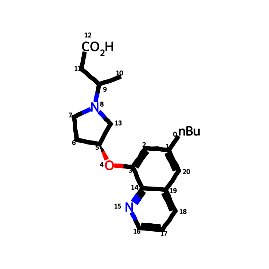 CCCCc1cc(O[C@H]2CCN(C(C)CC(=O)O)C2)c2ncccc2c1